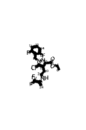 CCOC(=O)c1nn(Cc2c(F)cccc2F)c(Cl)c1CCNC(C)C(F)F